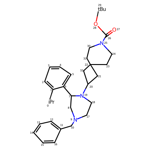 CC(C)c1ccccc1C1CN(Cc2ccccc2)CCN1C1CC2(CCN(C(=O)OC(C)(C)C)CC2)C1